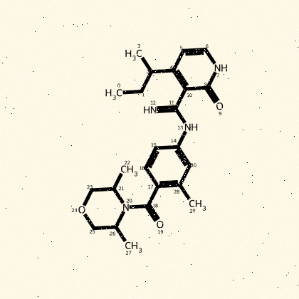 CCC(C)c1cc[nH]c(=O)c1C(=N)Nc1ccc(C(=O)N2C(C)COCC2C)c(C)c1